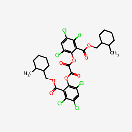 CC1CCCCC1COC(=O)c1c(Cl)c(Cl)cc(Cl)c1OC(=O)C(=O)Oc1c(Cl)cc(Cl)c(Cl)c1C(=O)OCC1CCCCC1C